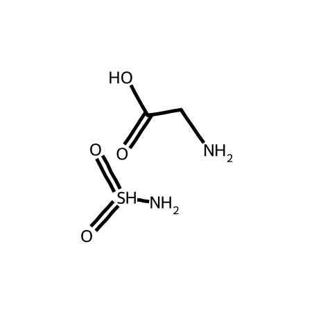 NCC(=O)O.N[SH](=O)=O